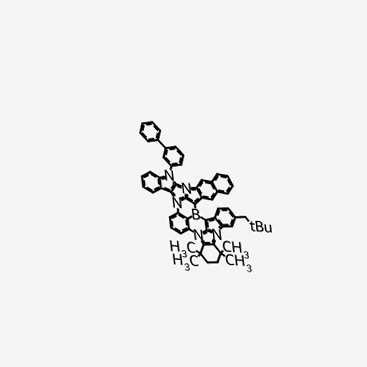 CC(C)(C)Cc1ccc2c3c4n(c5c(n4c2c1)C(C)(C)CCC5(C)C)-c1cccc2c1B3c1c3cc4ccccc4cc3n3c1n-2c1c2ccccc2n(-c2cccc(-c4ccccc4)c2)c13